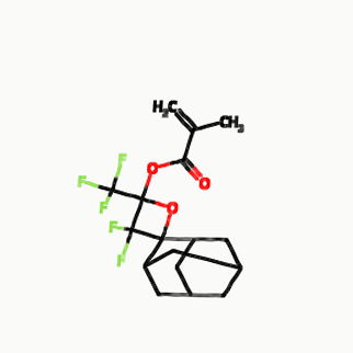 C=C(C)C(=O)OC1(C(F)(F)F)OC2(C3CC4CC(C3)CC2C4)C1(F)F